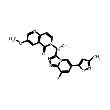 COc1cnc2ccn([C@H](C)c3nnc4c(F)cc(-c5cc(C)no5)cn34)c(=O)c2c1